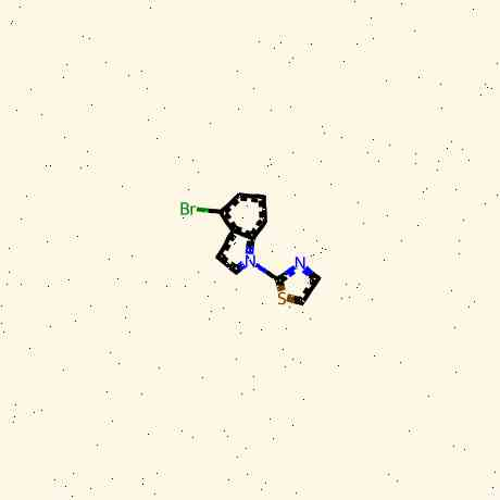 Brc1cccc2c1ccn2-c1nccs1